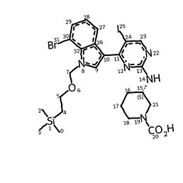 C[Si](C)(C)CCOCn1cc(-c2nc(N[C@H]3CCCN(C(=O)O)C3)ncc2I)c2cccc(Br)c21